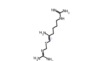 N=C(N)NCCCC/C(N)=C/SCN=C(N)N